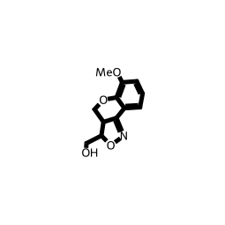 COc1cccc2c1OCC1C2=NOC1CO